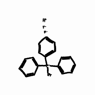 CC(C)[P+](c1ccccc1)(c1ccccc1)c1ccccc1.[F-].[F-].[H+]